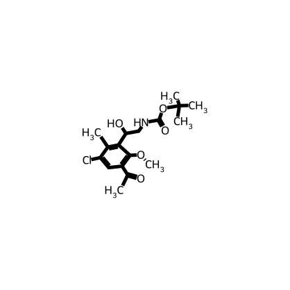 COc1c(C(C)=O)cc(Cl)c(C)c1C(O)CNC(=O)OC(C)(C)C